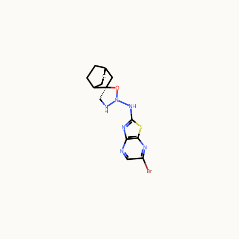 Brc1cnc2nc(NN3NC[C@]4(CC5CCC4CC5)O3)sc2n1